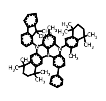 Cc1cc2c3c(c1)N(c1cccc4c1C(C)(C)c1ccccc1-4)c1cc4c(cc1B3c1cc(-c3ccccc3)ccc1N2c1cc2c(cc1C)C(C)(C)CCC2(C)C)C(C)(C)CCC4(C)C